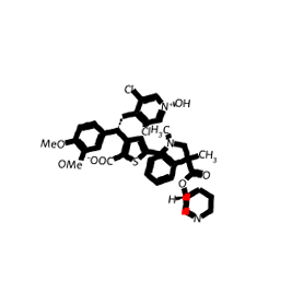 COc1ccc([C@H](Cc2c(Cl)c[n+](O)cc2Cl)c2cc(CN(C)CC(C)(C(=O)O[C@H]3CN4CCC3CC4)c3ccccc3)sc2C(=O)[O-])cc1OC